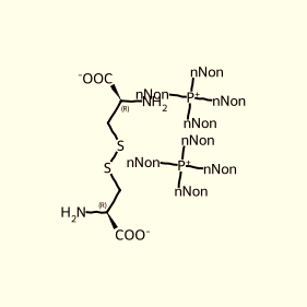 CCCCCCCCC[P+](CCCCCCCCC)(CCCCCCCCC)CCCCCCCCC.CCCCCCCCC[P+](CCCCCCCCC)(CCCCCCCCC)CCCCCCCCC.N[C@@H](CSSC[C@H](N)C(=O)[O-])C(=O)[O-]